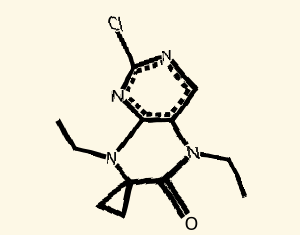 CCN1C(=O)C2(CC2)N(CC)c2nc(Cl)ncc21